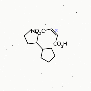 C1CCC(C2CCCC2)C1.O=C(O)/C=C\C(=O)O